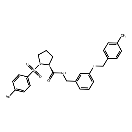 CC(=O)c1ccc(S(=O)(=O)N2CCC[C@H]2C(=O)NCc2cccc(OCc3ccc(C(F)(F)F)cc3)c2)cc1